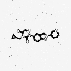 O=c1cnn(-c2ccc3nn(-c4cccnc4)cc3c2)c(=O)n1CC1CC1